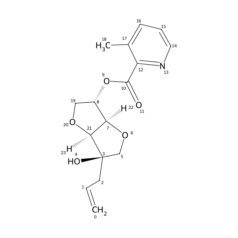 C=CC[C@@]1(O)CO[C@@H]2[C@@H](OC(=O)c3ncccc3C)CO[C@@H]21